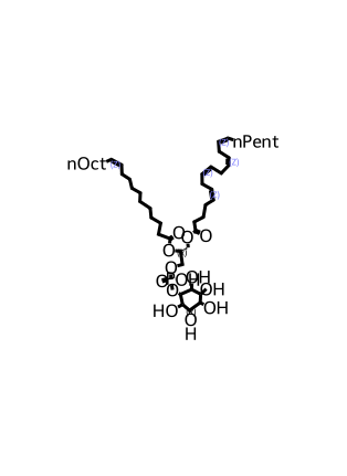 CCCCC/C=C\C/C=C\C/C=C\C/C=C\CCCC(=O)OC[C@H](COP(=O)(O)OC1C(O)C(O)C(O)[C@@H](O)C1O)OC(=O)CCCCCCCCC/C=C\CCCCCCCC